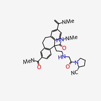 C=C(NC)c1ccc2c(c1)CCc1cc(C(=O)NC)ccc1C2(CCNCC(=O)N1CCCC1C#N)C(=O)NNC